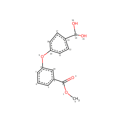 COC(=O)c1cccc(Oc2ccc(B(O)O)cc2)c1